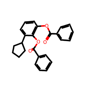 O=C(Oc1cccc(C2CCCC2)c1OC(=O)c1ccccc1)c1ccccc1